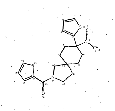 CN(C)C1(c2cccs2)CCC2(CCN(C(=O)c3cccs3)C2)CC1